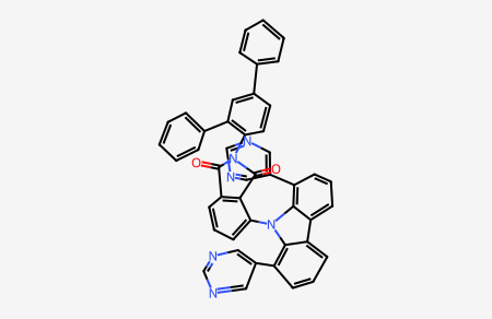 O=C1c2cccc(-n3c4c(-c5cncnc5)cccc4c4cccc(-c5cncnc5)c43)c2C(=O)N1c1ccc(-c2ccccc2)cc1-c1ccccc1